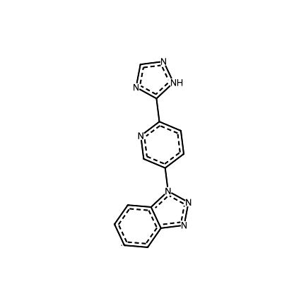 [c]1ccc2c(c1)nnn2-c1ccc(-c2ncn[nH]2)nc1